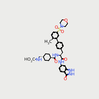 Cc1ccc(S(=O)(=O)N2CCOCC2)cc1-c1ccc(C[C@H](NC(=O)[C@H]2CC[C@H](CNC(=O)O)CC2)C(=O)Nc2ccc3c(=O)[nH][nH]c3c2)cc1